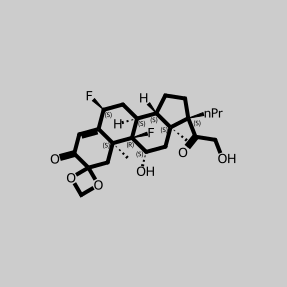 CCC[C@]1(C(=O)CO)CC[C@H]2[C@@H]3C[C@H](F)C4=CC(=O)C5(C[C@]4(C)[C@@]3(F)[C@@H](O)C[C@@]21C)OCO5